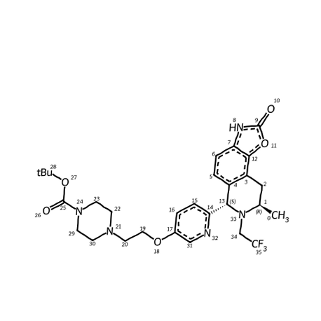 C[C@@H]1Cc2c(ccc3[nH]c(=O)oc23)[C@@H](c2ccc(OCCN3CCN(C(=O)OC(C)(C)C)CC3)cn2)N1CC(F)(F)F